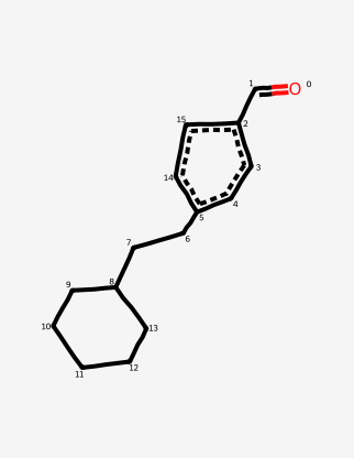 O=Cc1ccc(CCC2CCCCC2)cc1